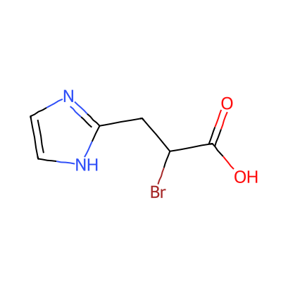 O=C(O)C(Br)Cc1ncc[nH]1